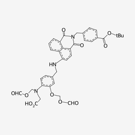 CC(C)(C)OC(=O)c1ccc(CN2C(=O)c3cccc4c(NCc5ccc(N(COC=O)CC(=O)O)c(OCOC=O)c5)ccc(c34)C2=O)cc1